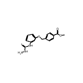 COC(=O)c1ccc(CSc2cccc(NC(=S)NN)c2)cc1